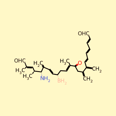 B[C@H](/C=C/C(=C)[C@H](N)[C@@H](C)/C=C(\C)C=O)C/C=C(\C)C(=O)CC(=C)C(=C)/C=C/C=C/C=C/C=O